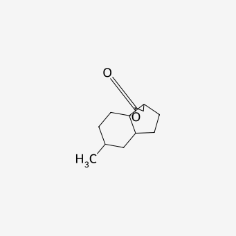 CC1CCC23OC(=O)CC2CCC3C1